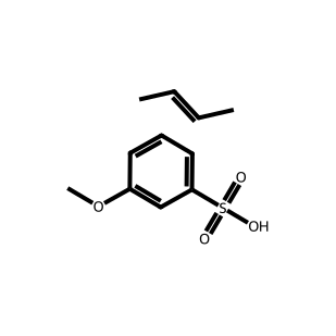 CC=CC.COc1cccc(S(=O)(=O)O)c1